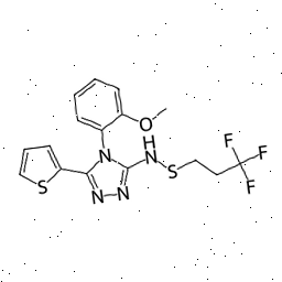 COc1ccccc1-n1c(NSCCC(F)(F)F)nnc1-c1cccs1